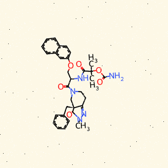 CN1N=C2CCN(C(=O)C(COc3ccc4ccccc4c3)NC(=O)C(C)(C)OC(N)=O)C[C@@]2(Cc2ccccc2)C1=O